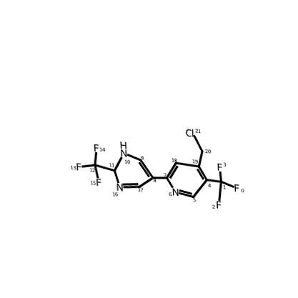 FC(F)(F)c1cnc(C2=CNC(C(F)(F)F)N=C2)cc1CCl